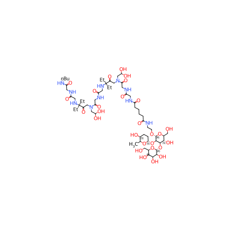 CCCCNC(=O)CNC(=O)CNC(CC)(CC)C(=O)CN(CC(O)O)C(=O)CNC(=O)CNC(CC)(CC)C(=O)CN(CC(O)O)C(=O)CNC(=O)CNC(=O)CCCCC(=O)NCCO[C@@H]1OC(CO)[C@H](O)C(O[C@H]2OC(CO)[C@H](O)C(O)C2O)C1O[C@H]1CC[C@H](O)C(C)O1